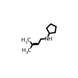 CC(C)=CCNC1CCCC1